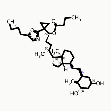 C=C1/C(=C\C=C2/CCC[C@]3(C)[C@@H]([C@H](C)CC[C@H](OC(=O)CCC)C4(c5ncc(CCCC)o5)CC4)CC[C@@H]23)C[C@@H](O)C[C@@H]1O